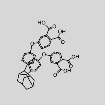 O=C(O)c1ccc(Oc2ccc(C3C4CC5CC(C4)C(c4ccc(Oc6ccc(C(=O)O)c(C(=O)O)c6)cc4)C3C5)cc2)cc1C(=O)O